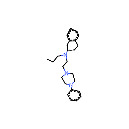 CCCN(CCN1CCN(c2ccccc2)CC1)C1CCc2ccccc2C1